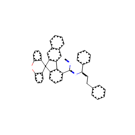 C=N/C(=N\C(=C/Cc1ccccc1)c1ccccc1)c1cccc2c1-c1cc3ccccc3cc1C21c2ccccc2Oc2ccccc21